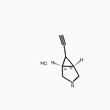 C#CC1[C@H]2CNC[C@@H]12.Cl